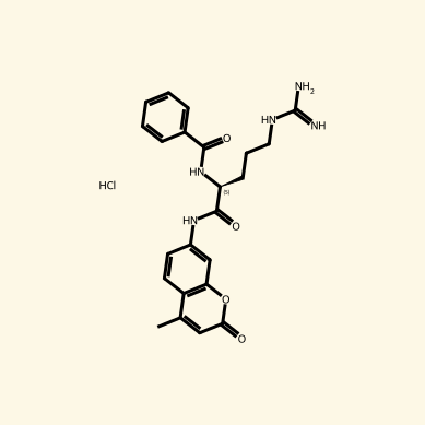 Cc1cc(=O)oc2cc(NC(=O)[C@H](CCCNC(=N)N)NC(=O)c3ccccc3)ccc12.Cl